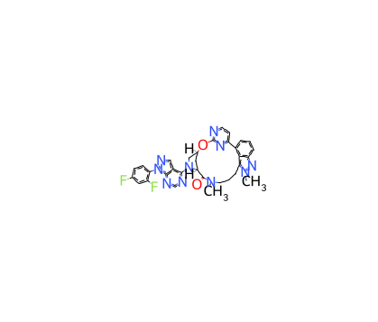 CN1CCCc2c3c(cccc3nn2C)-c2ccnc(n2)O[C@H]2C[C@@H](C1=O)N(c1ncnc3c1cnn3-c1ccc(F)cc1F)C2